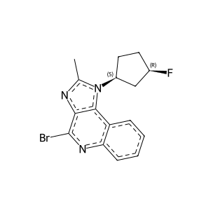 Cc1nc2c(Br)nc3ccccc3c2n1[C@H]1CC[C@@H](F)C1